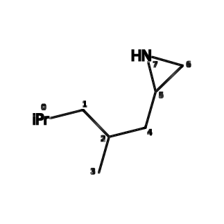 CC(C)CC(C)CC1CN1